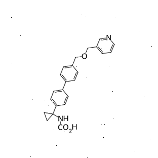 O=C(O)NC1(c2ccc(-c3ccc(COCc4cccnc4)cc3)cc2)CC1